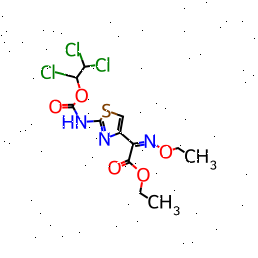 CCON=C(C(=O)OCC)c1csc(NC(=O)OC(Cl)C(Cl)Cl)n1